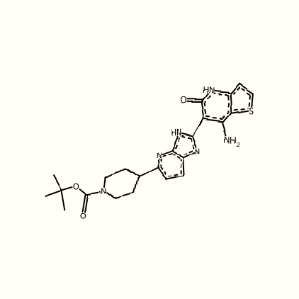 CC(C)(C)OC(=O)N1CCC(c2ccc3nc(-c4c(N)c5sccc5[nH]c4=O)[nH]c3n2)CC1